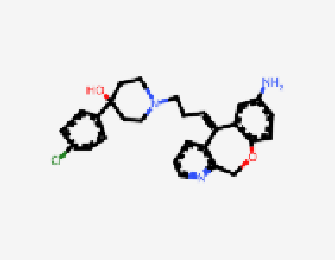 Nc1ccc2c(c1)/C(=C/CCN1CCC(O)(c3ccc(Cl)cc3)CC1)c1cccnc1CO2